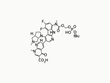 CN1C[C@H]2CCN(c3c(-c4cnc5c(c4)c(=O)c(C(=O)O)cn5C)cnc4[nH]c5c(N(C)C(=O)OCOP(=O)(O)OC(C)(C)C)cc(F)c(F)c5c34)[C@H]2C1